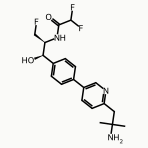 CC(C)(N)Cc1ccc(-c2ccc([C@@H](O)[C@@H](CF)NC(=O)C(F)F)cc2)cn1